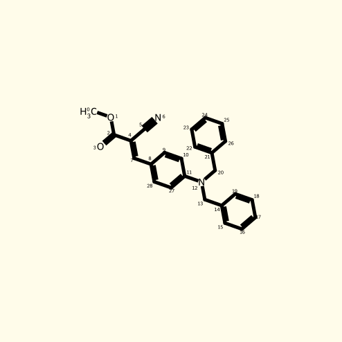 COC(=O)/C(C#N)=C/c1ccc(N(Cc2ccccc2)Cc2ccccc2)cc1